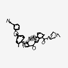 CCN1CCN(C(=O)c2cccc3[nH]c(C(=O)c4cnn(-c5ccc(Oc6cccc(C#N)c6)cc5C)c4N)cc23)CC1